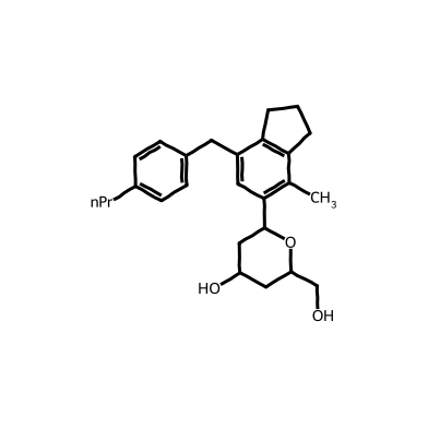 CCCc1ccc(Cc2cc(C3CC(O)CC(CO)O3)c(C)c3c2CCC3)cc1